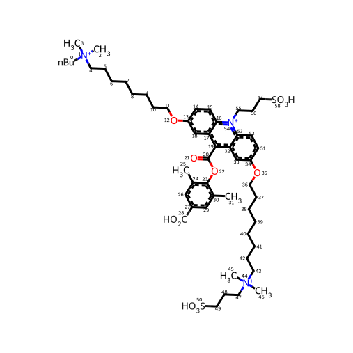 CCCC[N+](C)(C)CCCCCCCCOc1ccc2c(c1)c(C(=O)Oc1c(C)cc(C(=O)O)cc1C)c1cc(OCCCCCCCC[N+](C)(C)CCCS(=O)(=O)O)ccc1[n+]2CCCS(=O)(=O)O